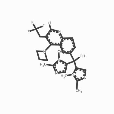 Cc1ncc(C(O)(c2ccc3nc(Cl)c(CC(F)(F)F)c(N4CCC4)c3c2)c2cnc(C)n2C)n1C